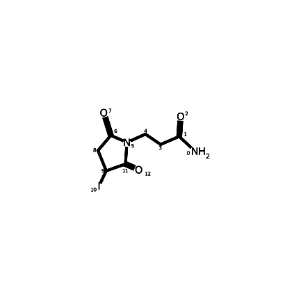 NC(=O)CCN1C(=O)CC(I)C1=O